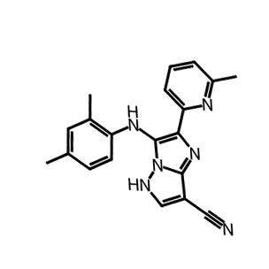 Cc1ccc(Nc2c(-c3cccc(C)n3)nc3c(C#N)c[nH]n23)c(C)c1